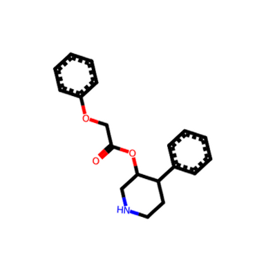 O=C(COc1ccccc1)OC1CNCCC1c1ccccc1